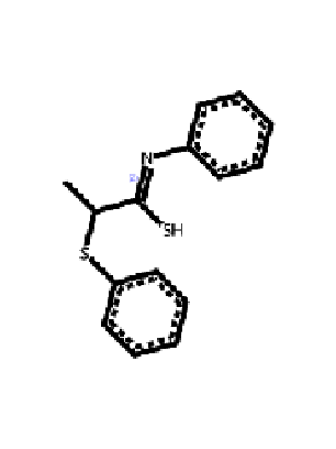 CC(Sc1ccccc1)/C(S)=N/c1ccccc1